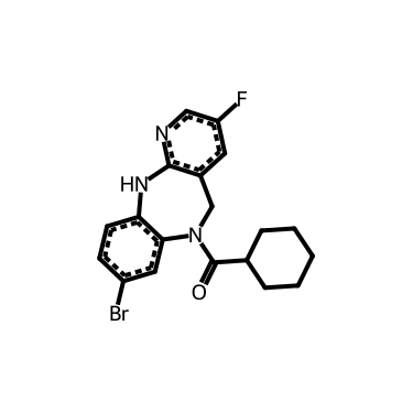 O=C(C1CCCCC1)N1Cc2cc(F)cnc2Nc2ccc(Br)cc21